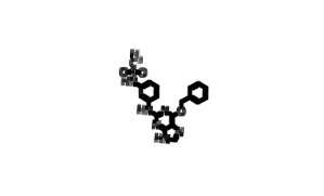 CS(=O)(=O)Nc1cccc(Nc2nc(OCc3ccccc3)c3nc[nH]c3n2)c1